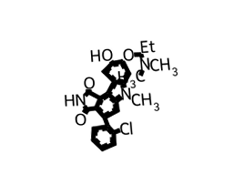 CCC(Oc1cc2c(cc1O)c1c3c(c(-c4ccccc4Cl)cc1n2C)C(=O)NC3=O)N(C)C